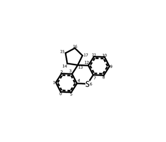 c1ccc2c(c1)Sc1ccccc1C21CCCC1